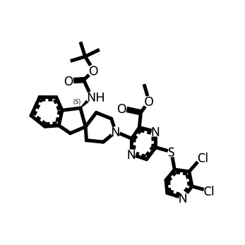 COC(=O)c1nc(Sc2ccnc(Cl)c2Cl)cnc1N1CCC2(CC1)Cc1ccccc1[C@H]2NC(=O)OC(C)(C)C